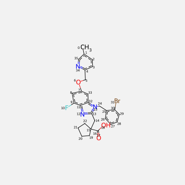 Cc1ccc(COc2cc(F)c3nc(CC4(C(=O)O)CCCC4)n(Cc4ccccc4Br)c3c2)nc1